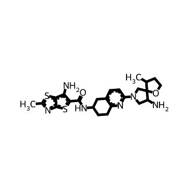 Cc1nc2sc(C(=O)NC3CCc4nc(N5CC(N)C6(C5)OCCC6C)ccc4C3)c(N)c2s1